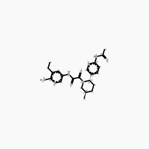 CCc1cc(NC(=O)C(=O)N2C[C@H](C)CC[C@H]2c2ccc(NC(C)=O)nc2)cnc1N